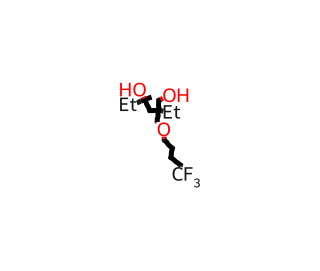 CCC(C)(O)CC(CC)(CO)COCCCCC(F)(F)F